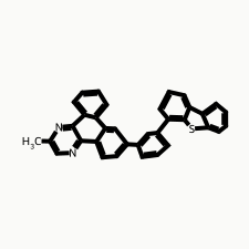 Cc1cnc2c3ccc(-c4cccc(-c5cccc6c5sc5ccccc56)c4)cc3c3ccccc3c2n1